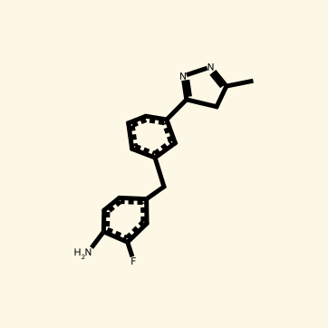 CC1=NN=C(c2cccc(Cc3ccc(N)c(F)c3)c2)C1